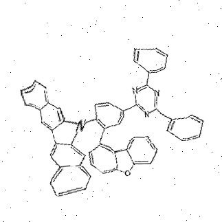 c1ccc(-c2nc(-c3ccccc3)nc(-c3ccc(-n4c5cc6ccccc6cc5c5cc6ccccc6cc54)c(-c4cccc5oc6ccccc6c45)c3)n2)cc1